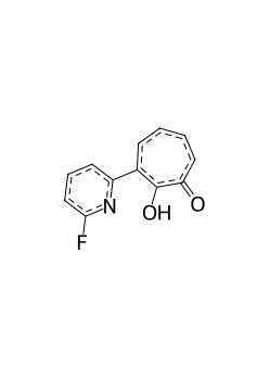 O=c1ccccc(-c2cccc(F)n2)c1O